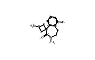 CN1CCc2c(F)cccc2C2(CC(N)C2)C1=O